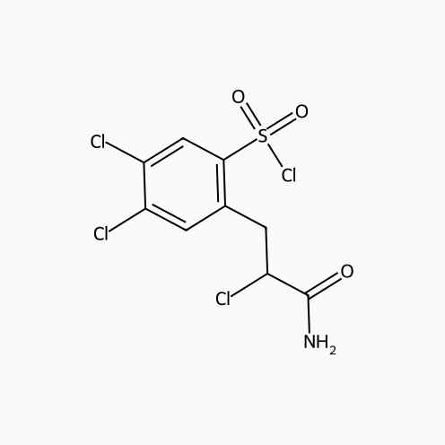 NC(=O)C(Cl)Cc1cc(Cl)c(Cl)cc1S(=O)(=O)Cl